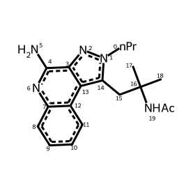 CCCn1nc2c(N)nc3ccccc3c2c1CC(C)(C)NC(C)=O